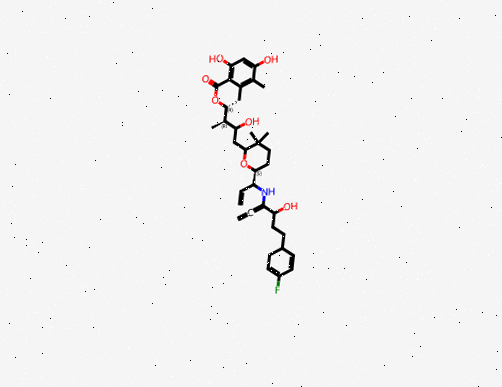 C=C=C(NC(C=C)[C@@H]1CCC(C)(C)C(CC(O)[C@@H](C)[C@H]2Cc3c(C)c(O)cc(O)c3C(=O)O2)O1)C(O)CCC1C=CC(F)=CC1